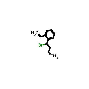 C=Cc1ccccc1C(Br)CCC